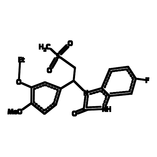 CCOc1cc(C(CS(C)(=O)=O)n2c(=O)[nH]c3cc(F)ccc32)ccc1OC